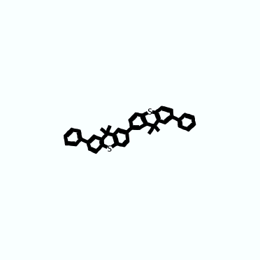 CC1(C)c2cc(-c3ccccc3)ccc2Sc2ccc(-c3ccc4c(c3)C(C)(C)c3cc(-c5ccccc5)ccc3S4)cc21